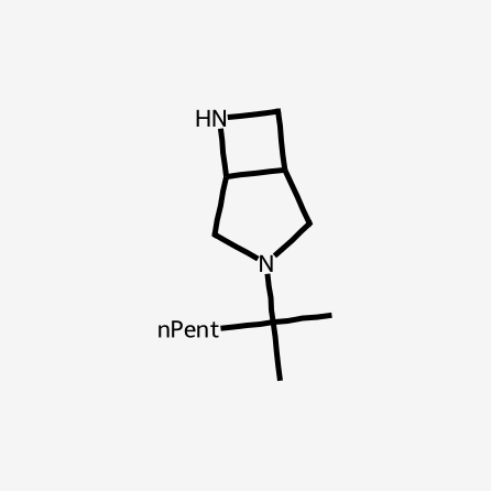 CCCCCC(C)(C)N1CC2CNC2C1